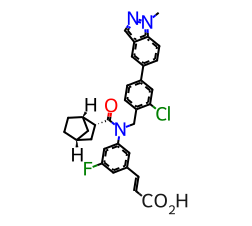 Cn1ncc2cc(-c3ccc(CN(C(=O)[C@@H]4C[C@@H]5CC[C@H]4C5)c4cc(F)cc(/C=C/C(=O)O)c4)c(Cl)c3)ccc21